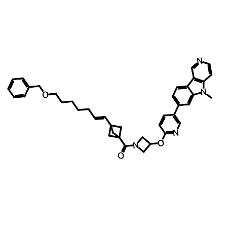 Cn1c2ccncc2c2ccc(-c3ccc(OC4CN(C(=O)C56CC(/C=C/CCCCCOCc7ccccc7)(C5)C6)C4)nc3)cc21